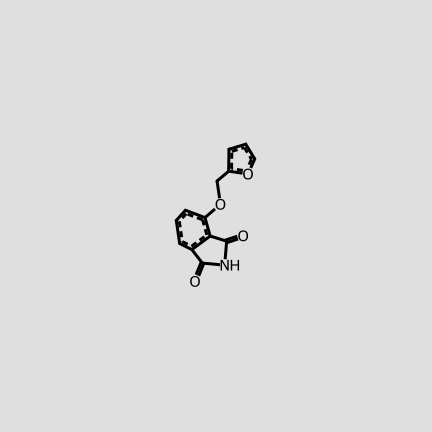 O=C1NC(=O)c2c(OCc3ccco3)cccc21